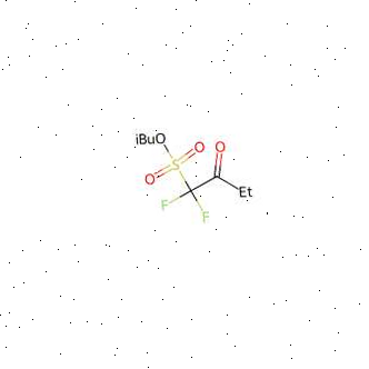 CCC(=O)C(F)(F)S(=O)(=O)OCC(C)C